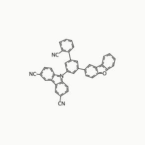 N#Cc1ccc2c(c1)c1cc(C#N)ccc1n2-c1cc(-c2ccc3oc4ccccc4c3c2)cc(-c2ccccc2C#N)c1